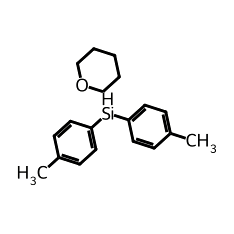 Cc1ccc([SiH](c2ccc(C)cc2)C2CCCCO2)cc1